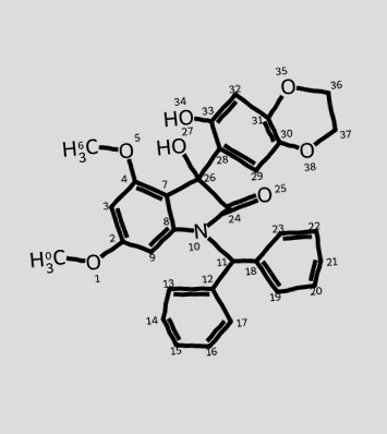 COc1cc(OC)c2c(c1)N(C(c1ccccc1)c1ccccc1)C(=O)C2(O)c1cc2c(cc1O)OCCO2